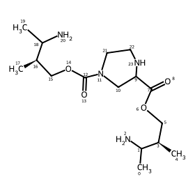 CC(N)[C@H](C)COC(=O)C1CN(C(=O)OC[C@@H](C)C(C)N)CCN1